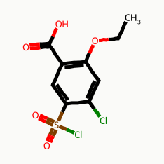 CCOc1cc(Cl)c(S(=O)(=O)Cl)cc1C(=O)O